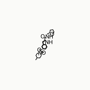 CC1CCN(S(=O)(=O)c2ccc3[nH]c(C(=O)NCC4CCCO4)cc3c2)CC1